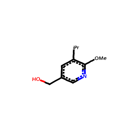 COc1ncc(CO)cc1C(C)C